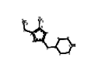 FC(F)(F)Cn1nc(CC2CCNCC2)cc1C(F)(F)F